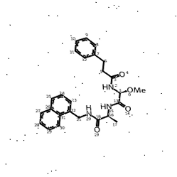 CO[C@H](NC(=O)CCc1ccccc1)C(=O)N[C@@H](C)C(=O)NCc1cccc2ccccc12